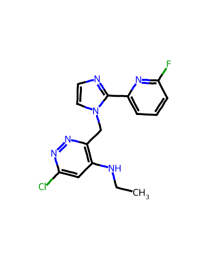 CCNc1cc(Cl)nnc1Cn1ccnc1-c1cccc(F)n1